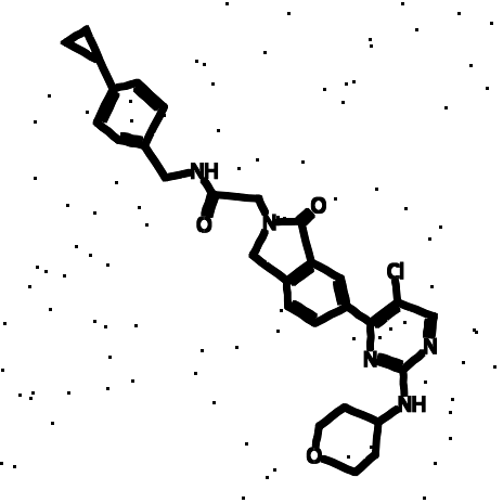 O=C(CN1Cc2ccc(-c3nc(NC4CCOCC4)ncc3Cl)cc2C1=O)NCc1ccc(C2CC2)cc1